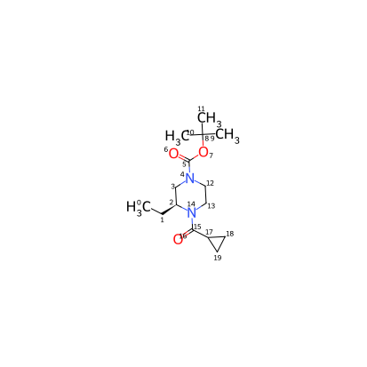 CC[C@H]1CN(C(=O)OC(C)(C)C)CCN1C(=O)C1CC1